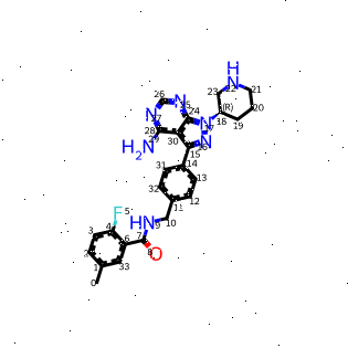 Cc1ccc(F)c(C(=O)NCc2ccc(-c3nn([C@@H]4CCCNC4)c4ncnc(N)c34)cc2)c1